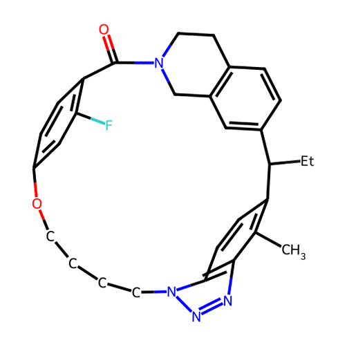 CCC1c2ccc3c(c2)CN(CC3)C(=O)c2ccc(cc2F)OCCCCn2nnc3c(C)c1ccc32